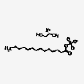 CCCCCCCCCCCCCC(=O)OS(=O)(=O)[O-].OCCO.[K+]